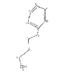 OCC[CH]Cc1ccccc1